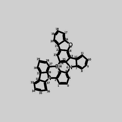 c1cc2c3c(c1)-n1c4ccccc4c4c5oc6ccccc6c5cc(c41)B3c1cccc3c4ccccc4n-2c13